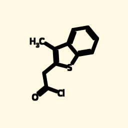 Cc1c(CC(=O)Cl)sc2ccccc12